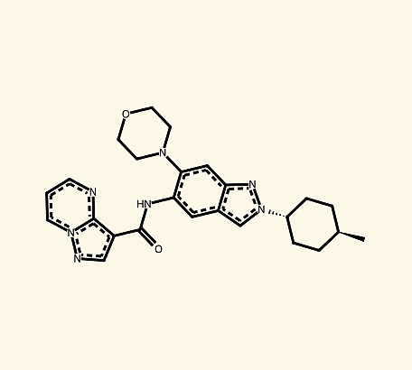 C[C@H]1CC[C@H](n2cc3cc(NC(=O)c4cnn5cccnc45)c(N4CCOCC4)cc3n2)CC1